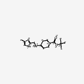 Cc1c[nH]c(CNC2CCN(C(=O)OC(C)(C)C)CC2)n1